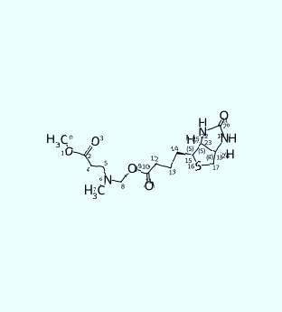 COC(=O)CCN(C)COC(=O)CCC[C@@H]1SC[C@@H]2NC(=O)N[C@@H]21